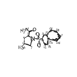 NC(=O)C1CC(S)CN1S(=O)(=O)c1ccc2ccccc2c1